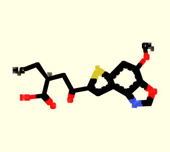 CC[C@@H](CC(=O)c1cc2c(cc(OC)c3ocnc32)s1)C(=O)O